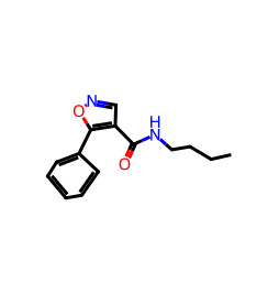 CCCCNC(=O)c1cnoc1-c1ccccc1